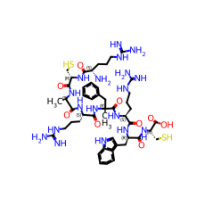 C[C@@H](NC(=O)[C@H](CS)NC(=O)[C@@H](N)CCCNC(=N)N)C(=O)N[C@@H](CCCNC(=N)N)C(=O)N[C@](C)(Cc1ccccc1)C(=O)N[C@@H](CCCNC(=N)N)C(=O)N[C@H](Cc1c[nH]c2ccccc12)C(=O)N[C@@H](CS)C(=O)O